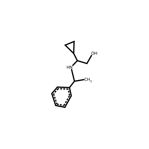 CC(NC(CO)C1CC1)c1ccccc1